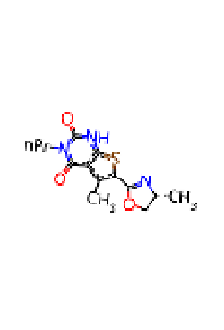 CCCn1c(=O)[nH]c2sc(C3=N[C@H](C)CO3)c(C)c2c1=O